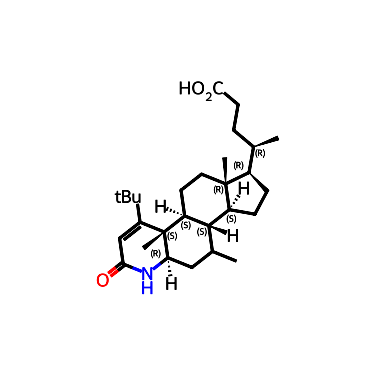 CC1C[C@H]2NC(=O)C=C(C(C)(C)C)[C@]2(C)[C@H]2CC[C@]3(C)[C@@H]([C@H](C)CCC(=O)O)CC[C@H]3[C@H]12